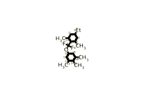 CCc1cc(C)c(C(F)(F)Oc2cc(C)c(C)c(C)c2)c(C)c1